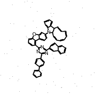 C1=C\C=C/C2C(\C=C\C=C/1)c1ccccc1N2c1ccc2c(c1)oc1cccc(-c3nc(-c4ccc(-c5ccccc5)cc4)nc(-c4ccc5ccccc5c4)n3)c12